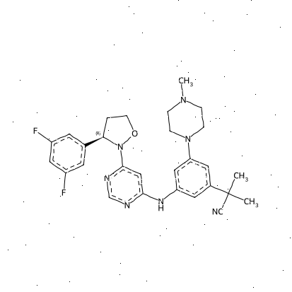 CN1CCN(c2cc(Nc3cc(N4OCC[C@@H]4c4cc(F)cc(F)c4)ncn3)cc(C(C)(C)C#N)c2)CC1